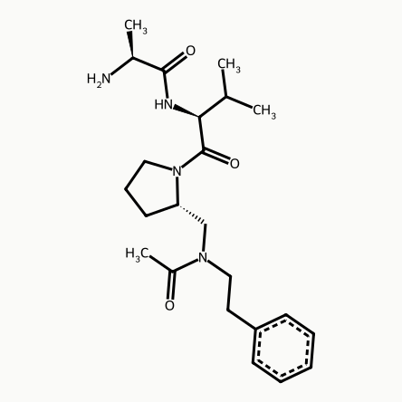 CC(=O)N(CCc1ccccc1)C[C@@H]1CCCN1C(=O)[C@@H](NC(=O)[C@H](C)N)C(C)C